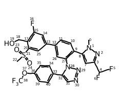 Cn1nc(C(F)F)cc1-c1ccc(-c2cc(F)c(CO)c(S(C)(=O)=O)c2)cc1-n1nncc1-c1ccc(OC(F)(F)F)cc1